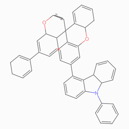 C1=CCC2Oc3cc(-c4cccc5c4C4C=CC=CC4N5c4ccccc4)ccc3C3(C2=C1)C1C=CC=CC1OC1C=C(C2=CCCC=C2)C=CC13